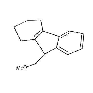 COCC1C2=C(CCCC2)c2ccccc21